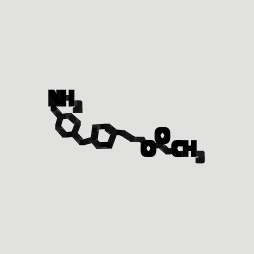 CCC(=O)OCCCc1ccc(CC2CCC(CN)CC2)cc1